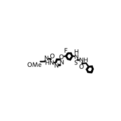 COCCN(C)C(=O)Nc1cc(Oc2ccc(NC(=S)NC(=O)Cc3ccccc3)cc2F)ncn1